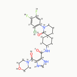 O=C(NC1CCC2(CCCN(c3cc(F)c(F)cc3Cl)C2=O)CC1)c1[nH]cnc1C(=O)N1CCOCC1